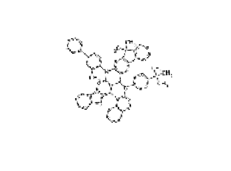 Cc1cc(-c2ccccc2)ccc1N1c2cc3c(cc2B2c4c1cc1c(oc5ccccc51)c4-c1c(ccc4ccccc14)N2c1ccc(C(C)(C)C)cc1)-c1ccccc1C3(C)C